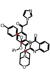 CC(C)Oc1ccc(C(=O)Cn2ccnc2)cc1-n1c(CN2C3COCC2CN(C(=O)COc2ccc(Cl)cc2)C3)nc2ccccc2c1=O